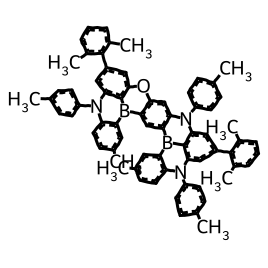 Cc1ccc(N2c3ccc(C)cc3B3c4cc5c(cc4Oc4cc(-c6c(C)cccc6C)cc2c43)N(c2ccc(C)cc2)c2cc(-c3c(C)cccc3C)cc3c2B5c2cc(C)ccc2N3c2ccc(C)cc2)cc1